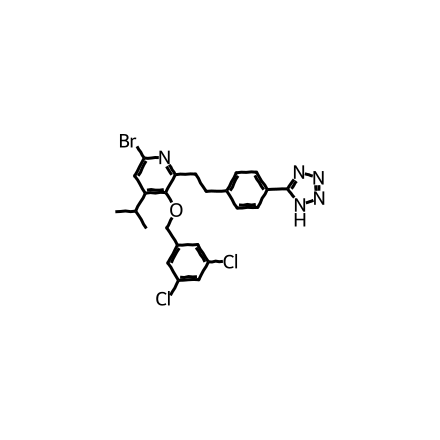 CC(C)c1cc(Br)nc(CCc2ccc(-c3nnn[nH]3)cc2)c1OCc1cc(Cl)cc(Cl)c1